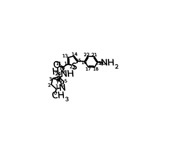 CC1CC2CCN1C[C@@H]2NC(=O)c1ccc(-c2ccc(N)cc2)s1